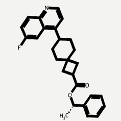 C[C@H](OC(=O)C1CC2(CCC(c3ccnc4ccc(F)cc34)CC2)C1)c1ccccc1